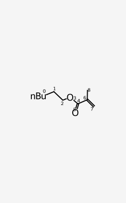 [CH2]CCCCCOC(=O)C(=C)C